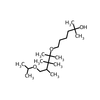 CC(C)OCC(C)C(C)(C)C(C)(C)OCCCCC(C)(C)O